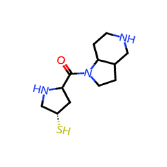 O=C(C1C[C@H](S)CN1)N1CCC2CNCCC21